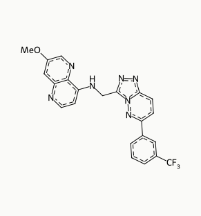 COc1cnc2c(NCc3nnc4ccc(-c5cccc(C(F)(F)F)c5)nn34)ccnc2c1